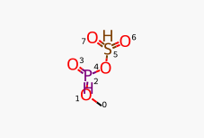 CO[PH](=O)O[SH](=O)=O